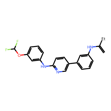 C=C(CC)Nc1cccc(-c2ccc(Nc3cccc(OC(F)F)c3)nc2)c1